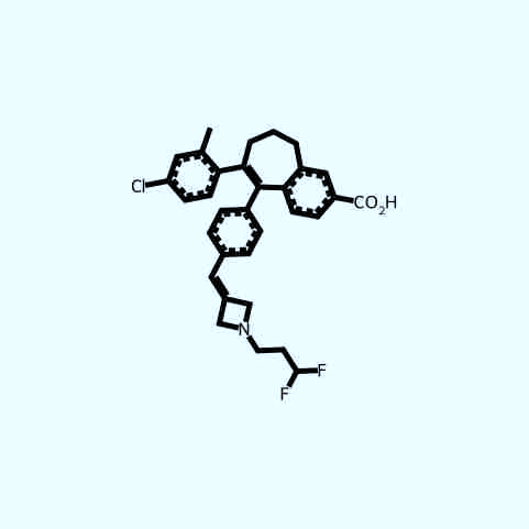 Cc1cc(Cl)ccc1C1=C(c2ccc(C=C3CN(CCC(F)F)C3)cc2)c2ccc(C(=O)O)cc2CCC1